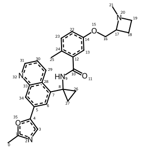 Cc1ncc(-c2cc(C3(NC(=O)c4cc(OCC5CCN5C)ccc4C)CC3)c3cccnc3c2)o1